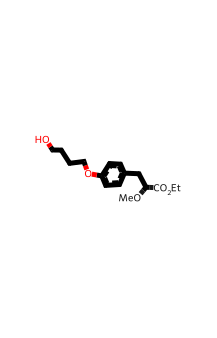 CCOC(=O)C(Cc1ccc(OCCCCO)cc1)OC